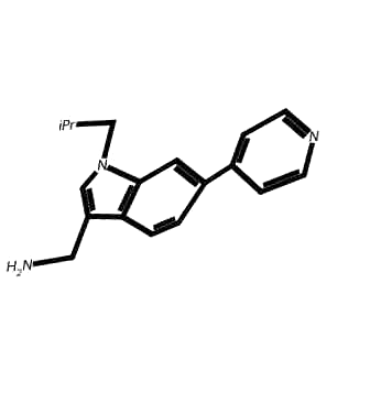 CC(C)Cn1cc(CN)c2ccc(-c3ccncc3)cc21